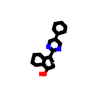 Oc1ccc(-c2ncc(-c3ccccc3)cn2)c2ccccc12